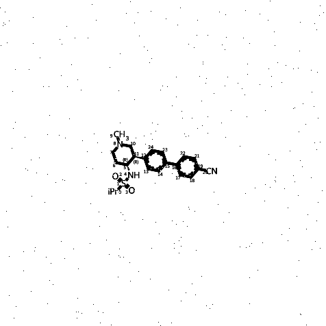 CC(C)S(=O)(=O)N[C@@H]1CCN(C)C[C@H]1c1ccc(-c2ccc(C#N)cc2)cc1